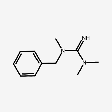 CN(C)C(=N)N(C)Cc1ccccc1